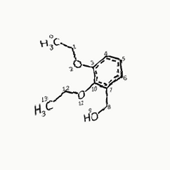 CCOc1cccc(CO)c1OCC